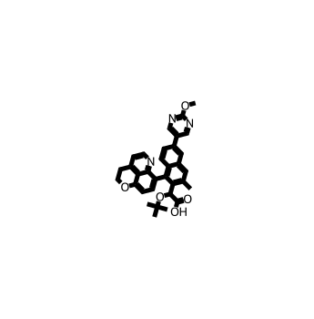 COc1ncc(-c2ccc3c(-c4ccc5c6c(ccnc46)CCO5)c(C(OC(C)(C)C)C(=O)O)c(C)cc3c2)cn1